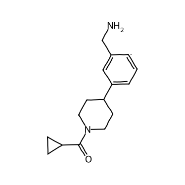 NCc1[c]ccc(C2CCN(C(=O)C3CC3)CC2)c1